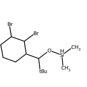 C[SiH](C)OC(C1CCCC(Br)C1Br)C(C)(C)C